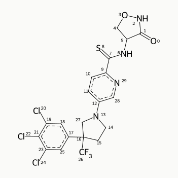 O=C1NOCC1NC(=S)c1ccc(N2CCC(c3cc(Cl)c(Cl)c(Cl)c3)(C(F)(F)F)C2)cn1